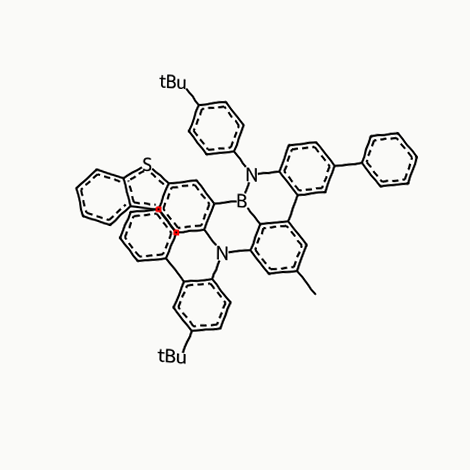 Cc1cc2c3c(c1)N(c1ccc(C(C)(C)C)cc1-c1ccccc1)c1cc4c(cc1B3N(c1ccc(C(C)(C)C)cc1)c1ccc(-c3ccccc3)cc1-2)sc1ccccc14